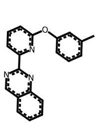 Cc1cccc(Oc2cccc(-c3ncc4ccccc4n3)n2)c1